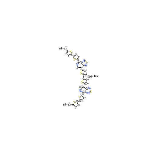 CCCCCCc1ccc(-c2ccc(-c3ncc(-c4cc5c(s4)-c4sc(-c6cnc(-c7ccc(-c8ccc(CCCCCC)s8)s7)c7nsnc67)cc4[SiH]5CCCCCC)c4nsnc34)s2)s1